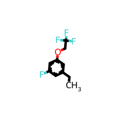 CCc1cc(F)cc(OCC(F)(F)F)c1